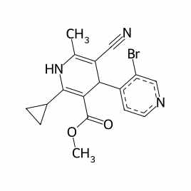 COC(=O)C1=C(C2CC2)NC(C)=C(C#N)C1c1ccncc1Br